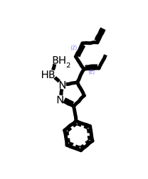 BBN1N=C(c2ccccc2)CC1C(/C=C\C=C)=C/C